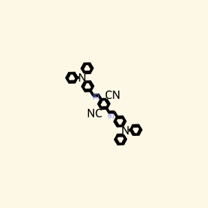 N#Cc1cc(/C=C/c2ccc(N(c3ccccc3)c3ccccc3)cc2)c(C#N)cc1/C=C/c1ccc(N(c2ccccc2)c2ccccc2)cc1